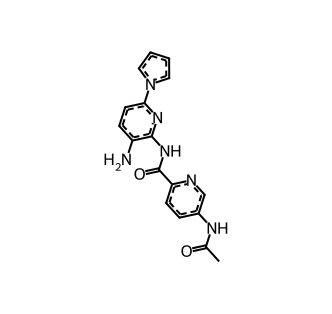 CC(=O)Nc1ccc(C(=O)Nc2nc(-n3cccc3)ccc2N)nc1